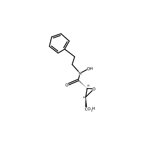 O=C(O)[C@@H]1O[C@H]1C(=O)N(O)CCc1ccccc1